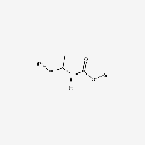 CCC(C(=O)OBr)C(C)CC(C)C